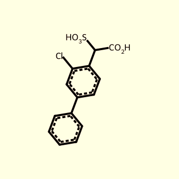 O=C(O)C(c1ccc(-c2ccccc2)cc1Cl)S(=O)(=O)O